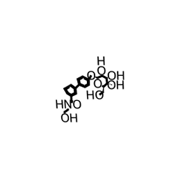 O=C(NCCO)c1cccc(-c2ccc(O[C@@H]3O[C@H](CO)[C@@H](O)[C@H](O)C3O)cc2)c1